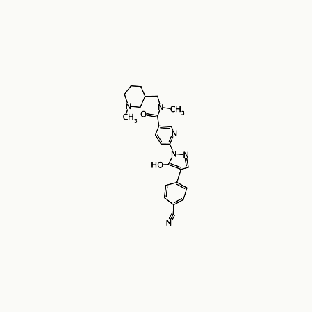 CN1CCCC(CN(C)C(=O)c2ccc(-n3ncc(-c4ccc(C#N)cc4)c3O)nc2)C1